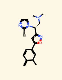 C=C1C=CC(c2cc([C@@H](CN(C)C)n3ccnc3CC)no2)=CC1C